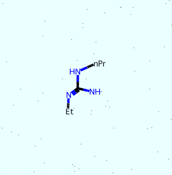 CCCN/C([NH])=N/CC